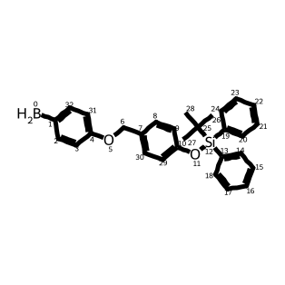 Bc1ccc(OCc2ccc(O[Si](c3ccccc3)(c3ccccc3)C(C)(C)C)cc2)cc1